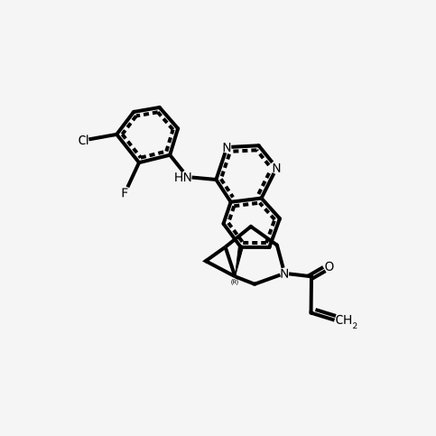 C=CC(=O)N1CCC2C[C@@]2(c2ccc3ncnc(Nc4cccc(Cl)c4F)c3c2)C1